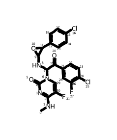 CNc1nc(=O)n(C(NC2OC2c2ccc(Cl)cc2)C(=O)c2ccc(Cl)c(F)c2)cc1F